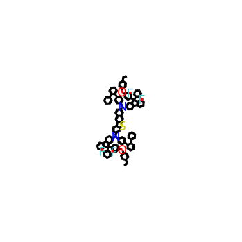 C=Cc1ccc(OC2C=CC(C3(C4=C(F)C=CCC4F)C4=C(CCC(N(C5=CCC(C6=CCCC=C6C6=CCCC=C6)C=C5)c5ccc6c(c5)=CC5SC7C=C(N(C8=CC9C(CC8)C8=C(CCC=C8)C9(C8=CC=C(OC9=CCC(C=C)C=C9)CC8)C8=C(F)CCC=C8F)c8ccc(C9C=CC=CC9C9=CCCC=C9)cc8)C=CC7C5C=6)=C4)C4=C3CCC=C4)=CC2)cc1